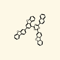 C1=CC2OC3C=C(c4nc(-c5ccc6ccccc6c5)nc(-c5cc(-c6ccc7c(c6)oc6ccccc67)cc6oc7ccccc7c56)n4)C=CC3C2C=C1